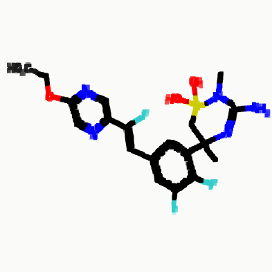 CN1C(N)=NC(C)(c2cc(C=C(F)c3cnc(OCC(=O)O)cn3)cc(F)c2F)CS1(O)O